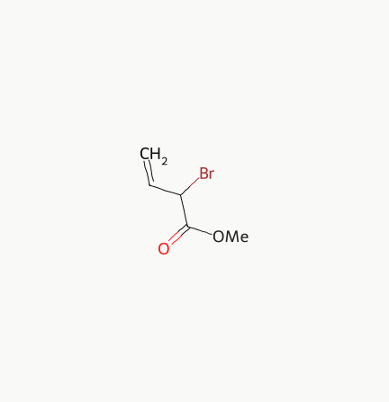 C=CC(Br)C(=O)OC